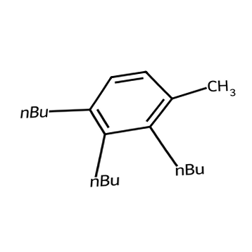 CCCCc1ccc(C)c(CCCC)c1CCCC